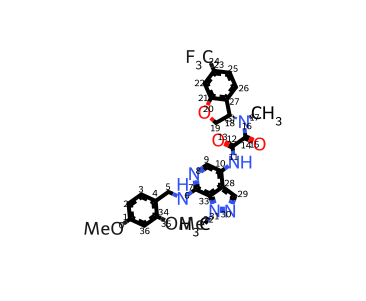 COc1ccc(CNc2ncc(NC(=O)C(=O)N(C)[C@@H]3COc4cc(C(F)(F)F)ccc43)c3cnn(C)c23)c(OC)c1